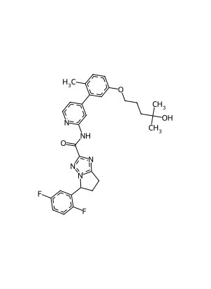 Cc1ccc(OCCCC(C)(C)O)cc1-c1ccnc(NC(=O)c2nc3n(n2)C(c2cc(F)ccc2F)CC3)c1